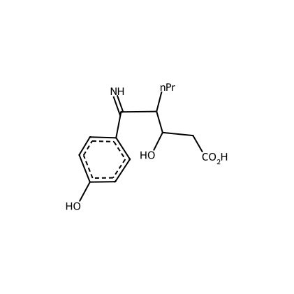 CCCC(C(=N)c1ccc(O)cc1)C(O)CC(=O)O